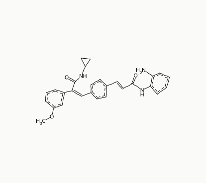 COc1cccc(C(=Cc2ccc(C=CC(=O)Nc3ccccc3N)cc2)C(=O)NC2CC2)c1